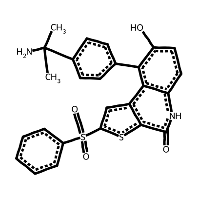 CC(C)(N)c1ccc(-c2c(O)ccc3[nH]c(=O)c4sc(S(=O)(=O)c5ccccc5)cc4c23)cc1